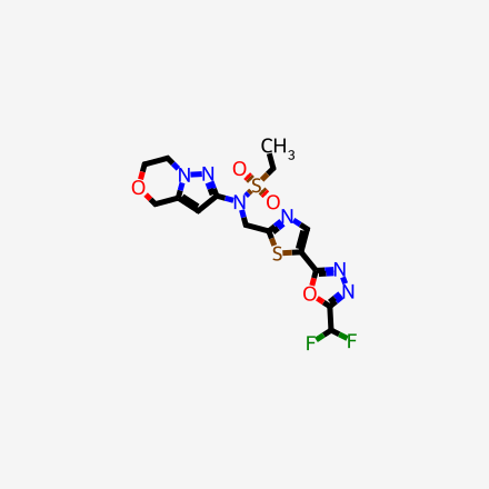 CCS(=O)(=O)N(Cc1ncc(-c2nnc(C(F)F)o2)s1)c1cc2n(n1)CCOC2